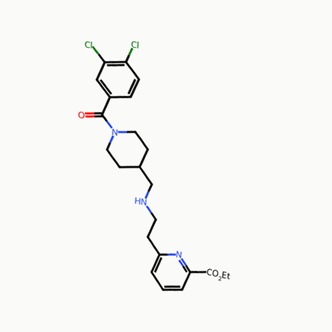 CCOC(=O)c1cccc(CCNCC2CCN(C(=O)c3ccc(Cl)c(Cl)c3)CC2)n1